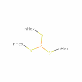 CCCCCCSP(SCCCCCC)SCCCCCC